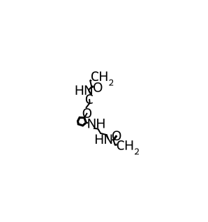 C=CC(=O)NCCCCNc1ccccc1OCCCCNC(=O)C=C